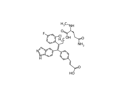 CCC(=C(c1ccc(C=CC(=O)O)cc1)c1ccc2[nH]ncc2c1)c1ccc(F)cc1Cl.CN[C@@H](CCC(N)=O)C(=O)O